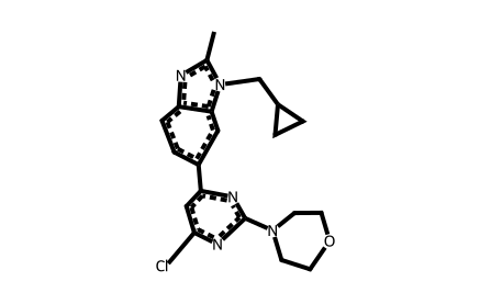 Cc1nc2ccc(-c3cc(Cl)nc(N4CCOCC4)n3)cc2n1CC1CC1